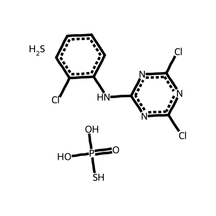 Clc1nc(Cl)nc(Nc2ccccc2Cl)n1.O=P(O)(O)S.S